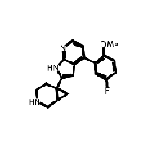 COc1ccc(F)cc1-c1ccnc2[nH]c(C34CCNCC3C4)cc12